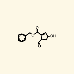 O=CC1CC(O)C=C1C(=O)OCc1ccccc1